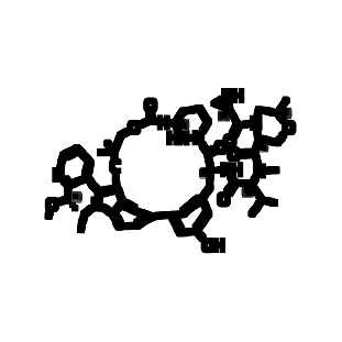 CCn1c(-c2cccnc2[C@H](C)OC)c2c3cc(ccc31)-c1cc(O)cc(c1)C[C@H](NC(=O)[C@H](C(C)C)N(C)C(=O)[C@@H]1CO[C@H](C)CN1C(=O)[C@H]1CN1)C(=O)N1CCC[C@H](N1)C(=O)OCC(C)(C)C2